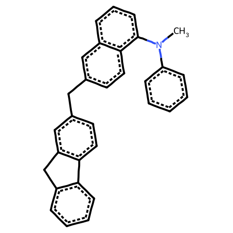 CN(c1ccccc1)c1cccc2cc(Cc3ccc4c(c3)Cc3ccccc3-4)ccc12